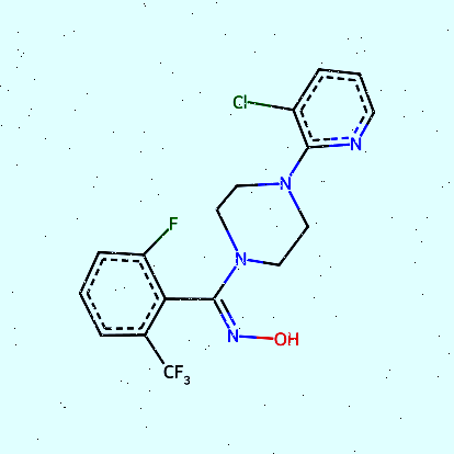 ON=C(c1c(F)cccc1C(F)(F)F)N1CCN(c2ncccc2Cl)CC1